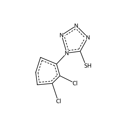 Sc1nnnn1-c1cccc(Cl)c1Cl